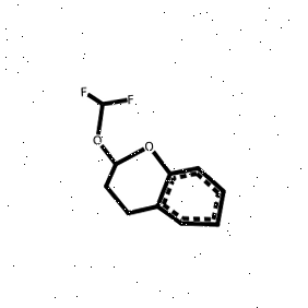 FC(F)OC1CCc2ccccc2O1